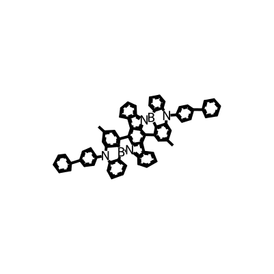 Cc1cc2c3c(c1)N(c1ccc(-c4ccccc4)cc1)c1ccccc1B3n1c3ccccc3c3c4c5c(c-2c31)c1ccccc1n5B1c2ccccc2N(c2ccc(-c3ccccc3)cc2)c2cc(C)cc-4c21